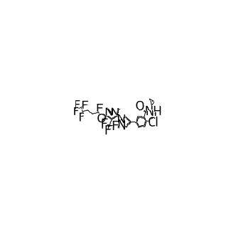 Cn1nc(OC(F)CCC(F)C(F)(F)F)c(C(F)(F)F)c1-n1cc(-c2ccc(Cl)c(C(=O)NC3CC3)c2)cn1